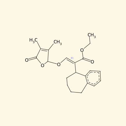 CCOC(=O)/C(=C/OC1OC(=O)C(C)=C1C)C1CCCCc2ccccc21